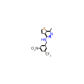 Cc1nnc(NCc2cc([N+](=O)[O-])cc(C(F)(F)F)c2)c2ccsc12